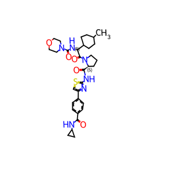 CC1CCC([C@@H](NC(=O)N2CCOCC2)C(=O)N2CCC[C@H]2C(=O)Nc2nc(-c3ccc(C(=O)NC4CC4)cc3)cs2)CC1